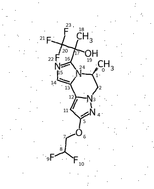 C[C@H]1Cn2nc(OCC(F)F)cc2-c2cnc(C(C)(O)C(F)(F)F)n21